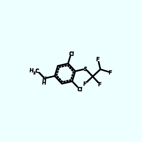 CNc1cc(Cl)c(SC(F)(F)C(F)F)c(Cl)c1